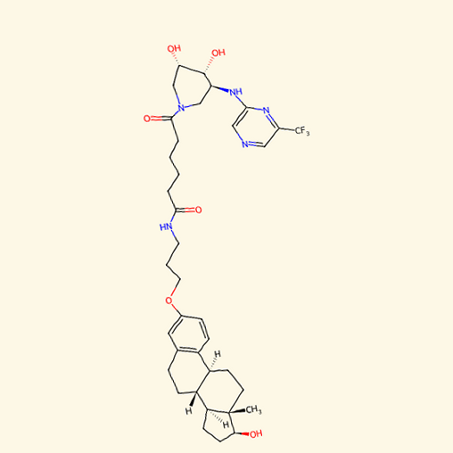 C[C@]12CC[C@@H]3c4ccc(OCCCNC(=O)CCCCC(=O)N5C[C@H](Nc6cncc(C(F)(F)F)n6)[C@@H](O)[C@@H](O)C5)cc4CC[C@H]3[C@@H]1CC[C@@H]2O